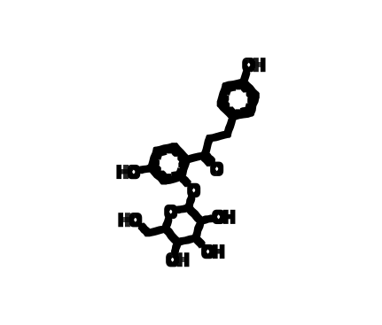 O=C(CCc1ccc(O)cc1)c1ccc(O)cc1OC1OC(CO)C(O)C(O)C1O